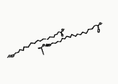 CC(C)[O][Al+2].O=C([O-])CCCCCCCCCCCCCCCCCO.O=C([O-])CCCCCCCCCCCCCCCCCO